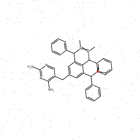 CN(C)C(c1ccccc1)c1cc(Cc2cnc(N)nc2N)cc(C(c2ccccc2)N(C)C)c1C(c1ccccc1)N(C)C